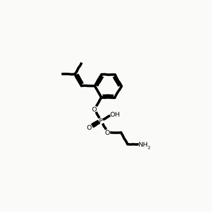 CC(C)=Cc1ccccc1OP(=O)(O)OCCN